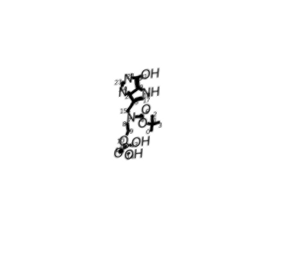 CC(C)(C)OC(=O)N(CCOP(=O)(O)O)Cc1c[nH]c2c(O)ncnc12